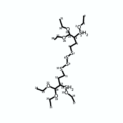 CCO[SiH2]C(CCSSSSCCC([SiH2]OCC)C(OCC)OCC)C(OCC)OCC